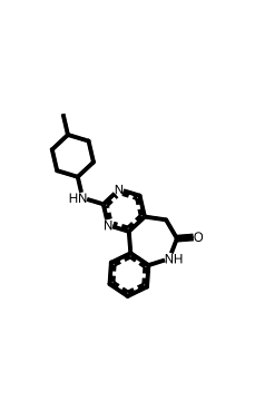 CC1CCC(Nc2ncc3c(n2)-c2ccccc2NC(=O)C3)CC1